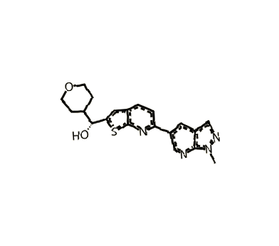 Cn1ncc2cc(-c3ccc4cc([C@H](O)C5CCOCC5)sc4n3)cnc21